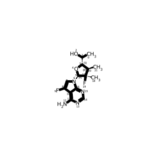 CC(O)[C@H]1O[C@@H](n2cc(F)c3c(N)ncnc32)[C@](C)(F)[C@@H]1C